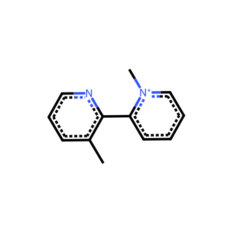 Cc1cccnc1-c1cccc[n+]1C